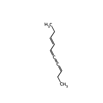 CCC=C=C=CC=CCC